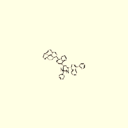 c1ccc(-c2nc(-c3ccc(-c4ccccc4)c4ccccc34)cc(-c3ccc(-c4ccc5ccc6cccc7ccc4c5c67)c4ccccc34)n2)cc1